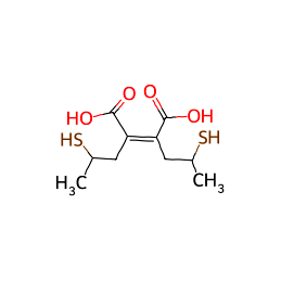 CC(S)C/C(C(=O)O)=C(\CC(C)S)C(=O)O